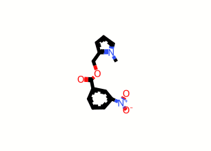 Cn1cccc1COC(=O)c1cccc([N+](=O)[O-])c1